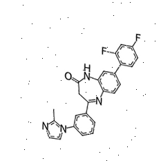 Cc1nccn1-c1cccc(C2=Nc3ccc(-c4ccc(F)cc4F)cc3NC(=O)C2)c1